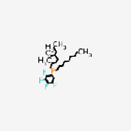 CCCCCCCCCP(CC(C)CCC(CC)CCC)c1cc(F)c(F)c(F)c1F